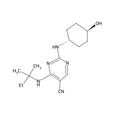 CCC(C)(C)Nc1nc(N[C@H]2CC[C@H](O)CC2)ncc1C#N